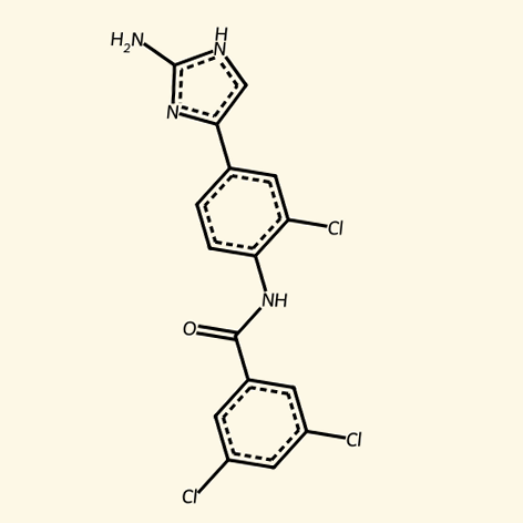 Nc1nc(-c2ccc(NC(=O)c3cc(Cl)cc(Cl)c3)c(Cl)c2)c[nH]1